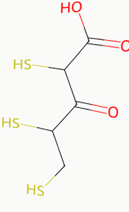 O=C(O)C(S)C(=O)C(S)CS